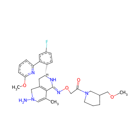 COCC1CCCN(C(=O)CON=C2N[C@@H](c3ccc(F)cc3-c3cccc(OC)n3)CC3=C2C(C)=CN(N)C3)C1